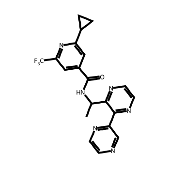 CC(NC(=O)c1cc(C2CC2)nc(C(F)(F)F)c1)c1nccnc1-c1cnccn1